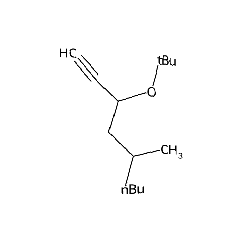 C#CC(CC(C)CCCC)OC(C)(C)C